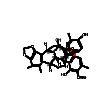 COc1c(C)cc2c(c1O)[C@@H]1[C@@H]3[C@@H]4SC[C@]5(NCCc6cc(O)c(C)cc65)C(=O)OC[C@H](c5c6c(c(C)c(C)c54)OCO6)N3[C@@H](O)[C@H](C2)N1C